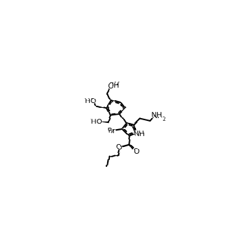 CCCOC(=O)c1[nH]c(CCN)c(-c2ccc(CO)c(CO)c2CO)c1Br